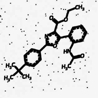 CCOC(=O)c1nc(-c2ccc(C(C)(C)C)cc2)oc1-c1ccccc1NC(C)=O